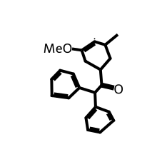 COC1=[C]C(C)CC(C(=O)C(c2ccccc2)c2ccccc2)C1